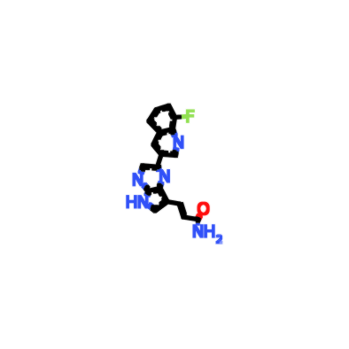 NC(=O)C=Cc1c[nH]c2ncc(-c3cnc4c(F)cccc4c3)nc12